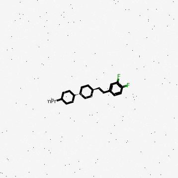 CCCC1CCC([C@H]2CC[C@H](CCc3ccc(F)c(F)c3)CC2)CC1